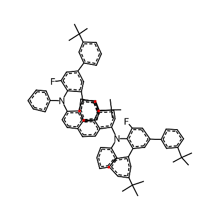 CC(C)(C)c1cccc(-c2cc(F)c(N(c3ccccc3)c3ccc4ccc5c(N(c6ccccc6)c6c(F)cc(-c7cccc(C(C)(C)C)c7)cc6-c6cccc(C(C)(C)C)c6)ccc6ccc3c4c65)c(-c3cccc(C(C)(C)C)c3)c2)c1